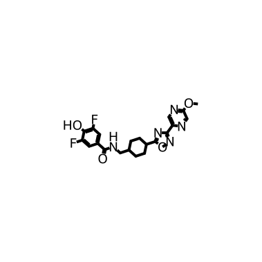 COc1cnc(-c2noc(C3CCC(CNC(=O)c4cc(F)c(O)c(F)c4)CC3)n2)cn1